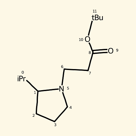 CC(C)C1CCCN1CCC(=O)OC(C)(C)C